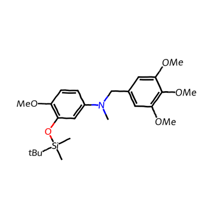 COc1ccc(N(C)Cc2cc(OC)c(OC)c(OC)c2)cc1O[Si](C)(C)C(C)(C)C